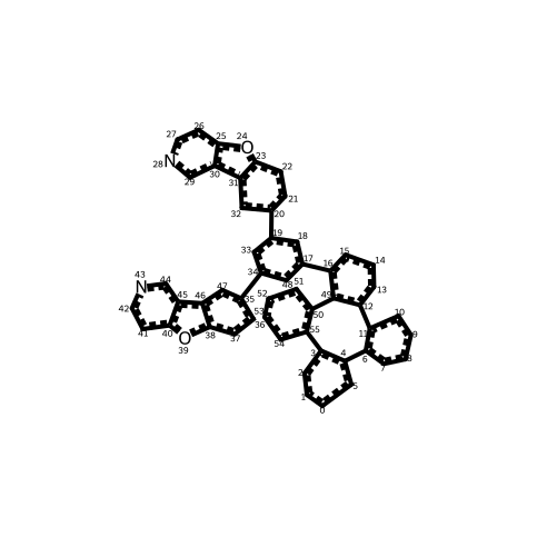 c1ccc2c(c1)-c1ccccc1-c1cccc(-c3cc(-c4ccc5oc6ccncc6c5c4)cc(-c4ccc5oc6ccncc6c5c4)c3)c1-c1ccccc1-2